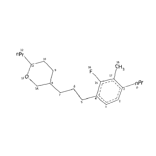 CCCc1ccc(CCCC2CCC(CCC)OC2)c(F)c1C